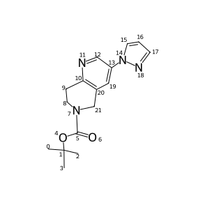 CC(C)(C)OC(=O)N1CCc2ncc(-n3cccn3)cc2C1